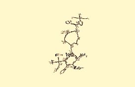 CC(C)(C)OC(=O)N1CCC(c2nc(C(F)(F)F)c(Cl)c(Br)c2N)CC1